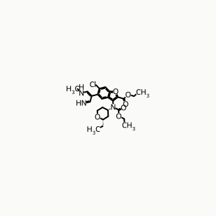 CCOC(=O)c1oc2cc(Cl)c(/C(C=N)=C/NC)cc2c1N(C(=O)OCC)[C@H]1CCO[C@@H](CC)C1